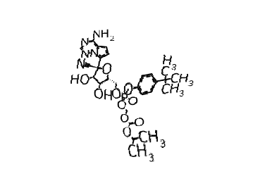 CC(C)OC(=O)OCOP(=O)(OC[C@H]1O[C@@](C#N)(c2ccc3c(N)ncnn23)[C@H](O)[C@@H]1O)Oc1ccc(C(C)(C)C)cc1